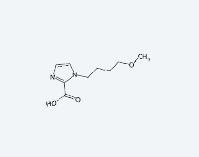 COCCCCn1ccnc1C(=O)O